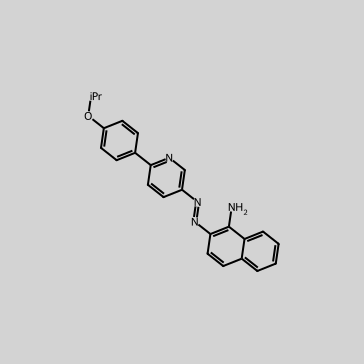 CC(C)Oc1ccc(-c2ccc(N=Nc3ccc4ccccc4c3N)cn2)cc1